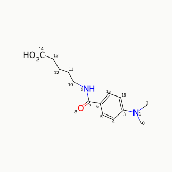 CN(C)c1ccc(C(=O)NCCCCC(=O)O)cc1